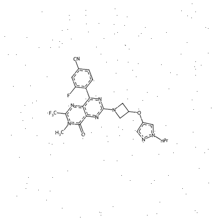 CCCn1cc(OC2CN(c3nc(-c4ccc(C#N)cc4F)c4nc(C(F)(F)F)n(C)c(=O)c4n3)C2)cn1